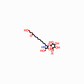 O=C(CCCO)CCCCCCCCCC1N[C@H](CO)[C@H](O)[C@@H]1O[C@@H]1O[C@H](CO)[C@@H](O)[C@H](O)[C@H]1O